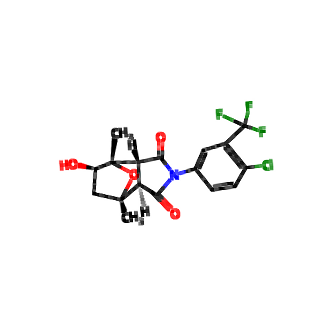 C[C@@]12O[C@@](C)(C[C@H]1O)[C@@H]1C(=O)N(c3ccc(Cl)c(C(F)(F)F)c3)C(=O)[C@H]12